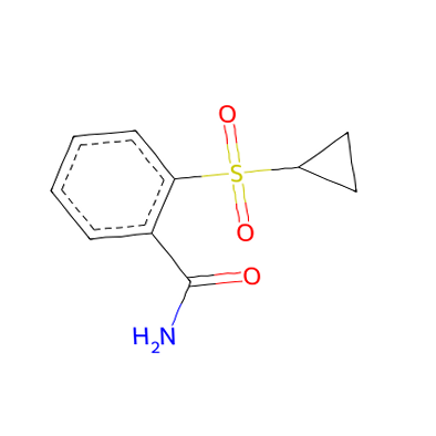 NC(=O)c1ccccc1S(=O)(=O)C1CC1